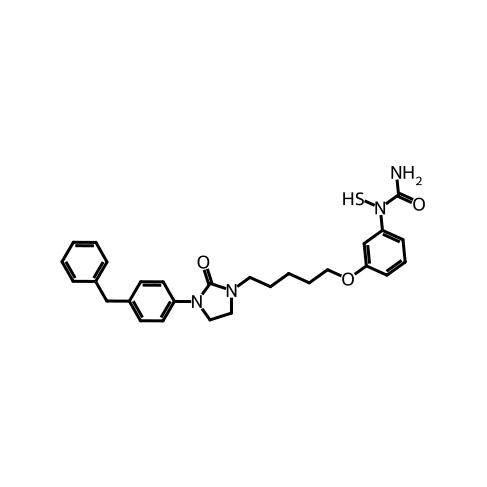 NC(=O)N(S)c1cccc(OCCCCCN2CCN(c3ccc(Cc4ccccc4)cc3)C2=O)c1